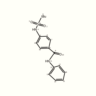 CC(C)(C)S(=O)(=O)Nc1ccc(C(=O)Nc2ccccc2)cc1